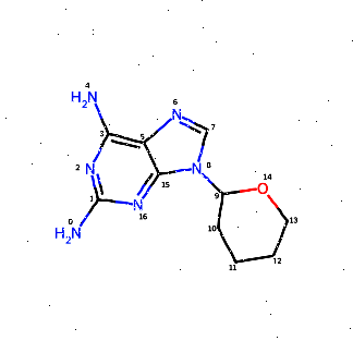 Nc1nc(N)c2ncn(C3CCCCO3)c2n1